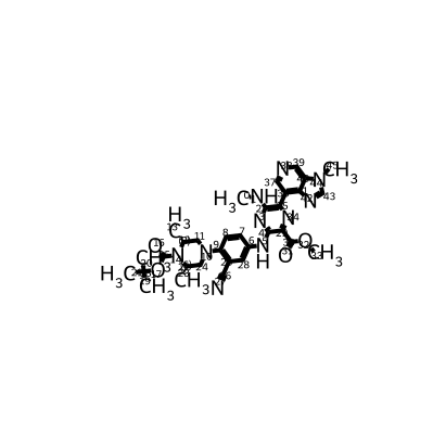 CNc1nc(Nc2ccc(N3C[C@@H](C)N(C(=O)OC(C)(C)C)[C@@H](C)C3)c(C#N)c2)c(C(=O)OC)nc1-c1cncc2c1ncn2C